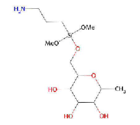 CO[Si](CCCN)(OC)OCC1OC(C)C(O)C(O)C1O